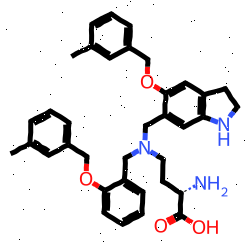 Cc1cccc(COc2ccccc2CN(CC[C@H](N)C(=O)O)Cc2cc3c(cc2OCc2cccc(C)c2)CCN3)c1